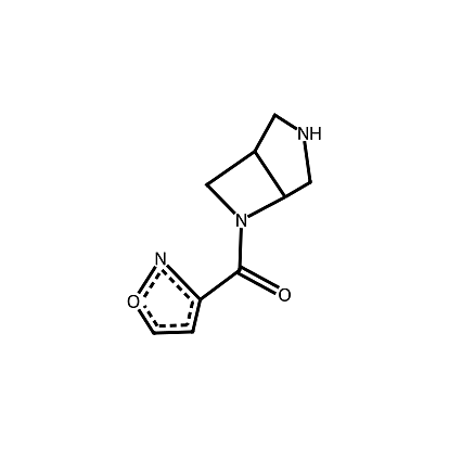 O=C(c1ccon1)N1CC2CNCC21